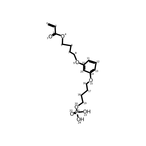 C=CC(=O)OCCCCOc1cccc(OCCCCOP(=O)(O)O)c1